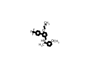 COCCOc1ccc(CN[C@H](C)c2cccc(OC)c2)cc1-c1ccc(C(F)(F)F)cc1